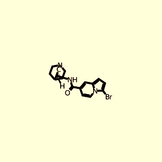 O=C(N[C@H]1CN2CCC1CC2)c1ccn2c(Br)ccc2c1